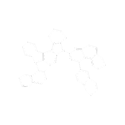 c1ccc2cc(-c3nc(-n4c5ccccc5c5c6c7ccccc7n7c8c9ccccc9ccc8c(cc54)c67)nc4ccc5ccccc5c34)ccc2c1